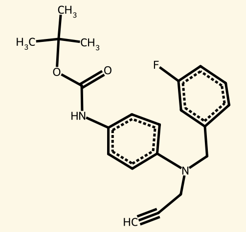 C#CCN(Cc1cccc(F)c1)c1ccc(NC(=O)OC(C)(C)C)cc1